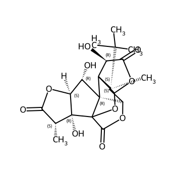 C[C@@H]1C2OC(=O)C34OC5OC(=O)[C@H](O)C5([C@@H]1C(C)(C)C)[C@@]23[C@@H](O)[C@@H]1OC(=O)[C@@H](C)[C@@]14O